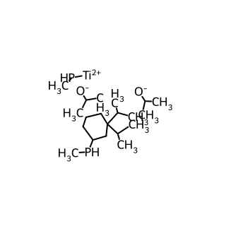 CC(C)[O-].CC(C)[O-].CPC1CCCC(C(C)C)(C(C)C)C1.C[PH][Ti+2]